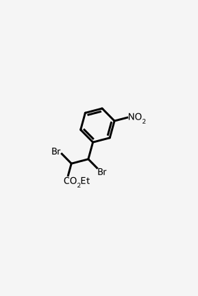 CCOC(=O)C(Br)C(Br)c1cccc([N+](=O)[O-])c1